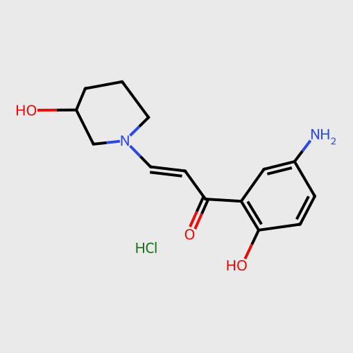 Cl.Nc1ccc(O)c(C(=O)C=CN2CCCC(O)C2)c1